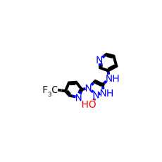 ON1NC(Nc2cccnc2)=CN1c1ccc(C(F)(F)F)cn1